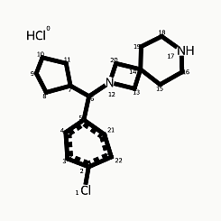 Cl.Clc1ccc(C(C2CCCC2)N2CC3(CCNCC3)C2)cc1